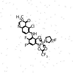 Cn1cnc2ccc(Nc3c(F)c(F)cc(N(OC(=O)C(F)(F)F)S(=O)(=O)N4CC[C@@H](F)C4)c3Cl)c(Cl)c2c1=O